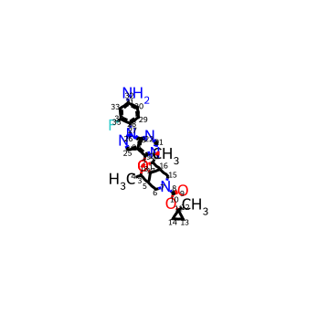 CC1OC(C)C2CN(C(=O)OC3(C)CC3)CC1C2Oc1ncnc2c1cnn2-c1ccc(N)cc1F